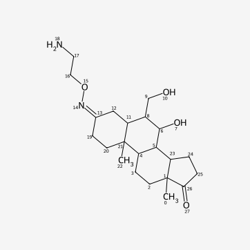 CC12CCC3C(C(O)C(CO)C4CC(=NOCCN)CCC43C)C1CCC2=O